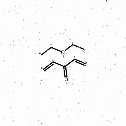 C=CC(=O)C=C.CCOCC